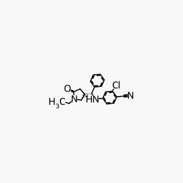 CCN1C[C@@H](C(Nc2ccc(C#N)c(Cl)c2)c2ccccc2)CC1=O